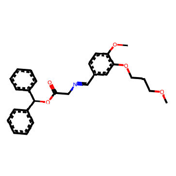 COCCCOc1cc(/C=N/CC(=O)OC(c2ccccc2)c2ccccc2)ccc1OC